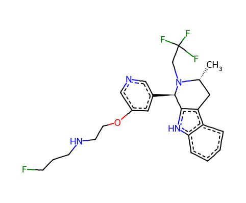 C[C@@H]1Cc2c([nH]c3ccccc23)[C@@H](c2cncc(OCCNCCCF)c2)N1CC(F)(F)F